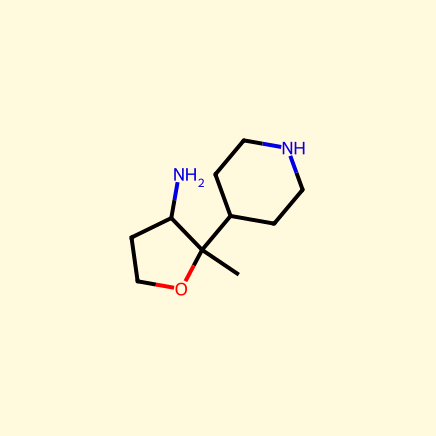 CC1(C2CCNCC2)OCCC1N